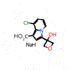 O=C(O)c1cc(C2(O)COC2)n2cccc(Cl)c12.[NaH]